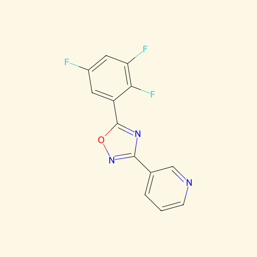 Fc1cc(F)c(F)c(-c2nc(-c3cccnc3)no2)c1